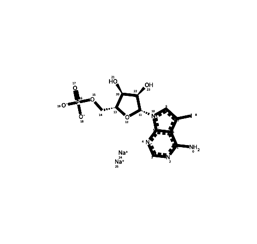 Nc1ncnc2c1c(I)cn2[C@@H]1O[C@H](COP(=O)([O-])[O-])[C@@H](O)[C@H]1O.[Na+].[Na+]